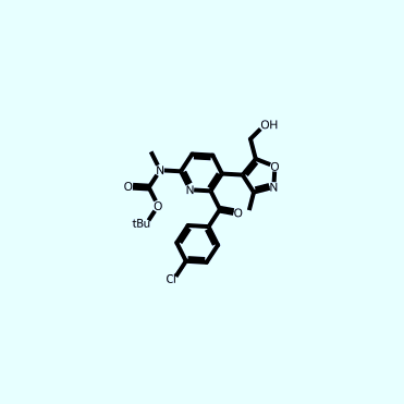 Cc1noc(CO)c1-c1ccc(N(C)C(=O)OC(C)(C)C)nc1C(=O)c1ccc(Cl)cc1